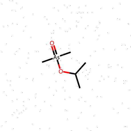 CC(C)O[As](C)(C)=O